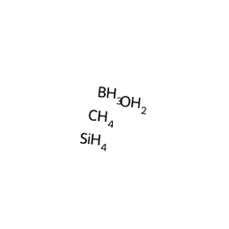 B.C.O.[SiH4]